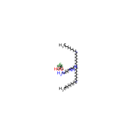 CCCCCCCC/C=C\CCCCCCCCN(CCCCCCCC/C=C\CCCCCCCC)CCCNCCCCN.O=C(O)C(F)(F)F